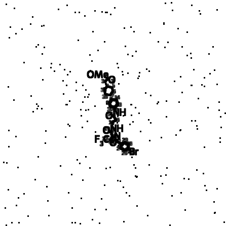 COC(=O)C[C@H]1CC[C@H](c2ccc(NC(=O)CCNC(=O)c3nc(-c4ccc(Br)cc4)oc3C(F)(F)F)cc2)CC1